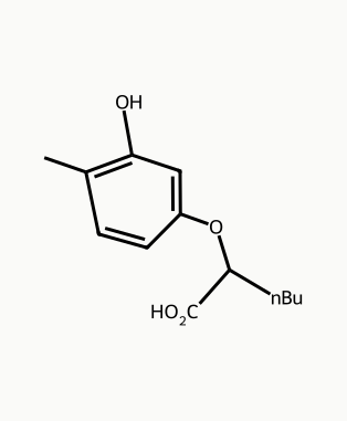 CCCCC(Oc1ccc(C)c(O)c1)C(=O)O